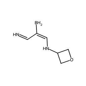 B/C(C=N)=C/NC1COC1